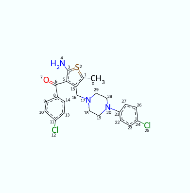 Cc1sc(N)c(C(=O)c2ccc(Cl)cc2)c1CN1CCN(c2ccc(Cl)cc2)CC1